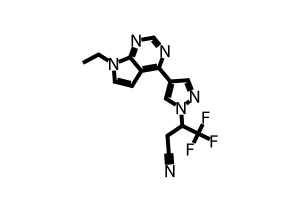 CCn1ccc2c(-c3cnn(C(CC#N)C(F)(F)F)c3)ncnc21